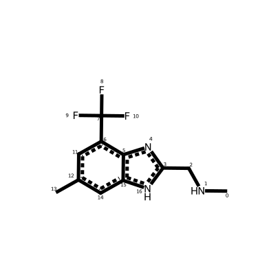 CNCc1nc2c(C(F)(F)F)cc(C)cc2[nH]1